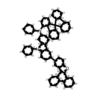 c1ccc(N(c2ccc3c4cc(-c5ccc6oc7c8ccccc8c8ccccc8c7c6c5)ccc4n(-c4ccccc4)c3c2)c2cccc3c2-c2ccccc2C32c3ccccc3-c3ccccc32)cc1